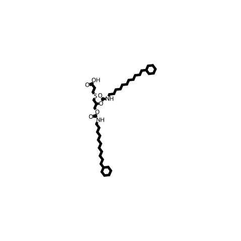 O=C(O)CCSCC(COC(=O)NCCCCCCCCCCCC1CCCCC1)OC(=O)NCCCCCCCCCCCC1CCCCC1